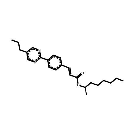 CCCCCC[C@@H](C)OC(=O)C=Cc1ccc(-c2ncc(CCC)cn2)cc1